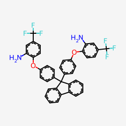 Nc1cc(C(F)(F)F)ccc1Oc1ccc(C2(c3ccc(Oc4ccc(C(F)(F)F)cc4N)cc3)c3ccccc3-c3ccccc32)cc1